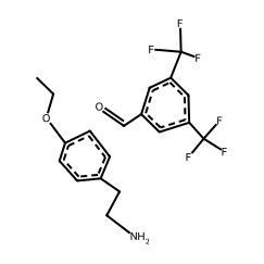 CCOc1ccc(CCN)cc1.O=Cc1cc(C(F)(F)F)cc(C(F)(F)F)c1